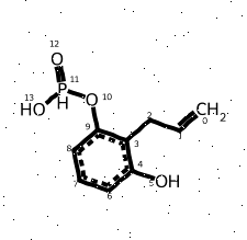 C=CCc1c(O)cccc1O[PH](=O)O